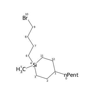 CCCCCC1CC[Si](C)(CCCCBr)CC1